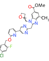 COC(=O)c1cc(C)c2nc(Cc3ncc(-c4cccc(OCc5ccc(Cl)cc5F)n4)cn3)n(C[C@@H]3CCO3)c2c1